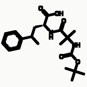 CC(C[C@@H](NC(=O)C(C)(C)NC(=O)OC(C)(C)C)C(=O)O)c1ccccc1